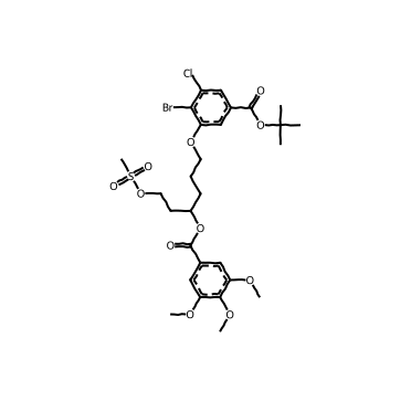 COc1cc(C(=O)OC(CCCOc2cc(C(=O)OC(C)(C)C)cc(Cl)c2Br)CCOS(C)(=O)=O)cc(OC)c1OC